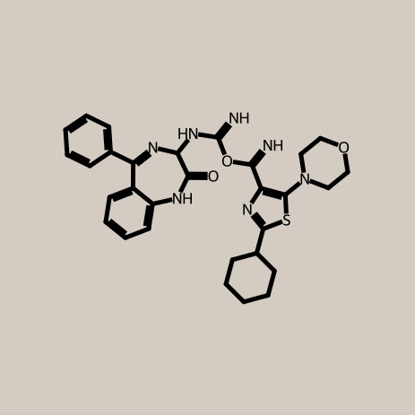 N=C(NC1N=C(c2ccccc2)c2ccccc2NC1=O)OC(=N)c1nc(C2CCCCC2)sc1N1CCOCC1